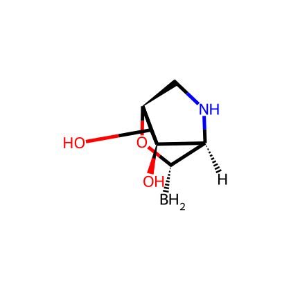 B[C@@H]1O[C@@]23CN[C@@H]1[C@@]2(O)C3O